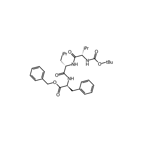 CC(C)C[C@H](NC(=O)[C@@H](NC(=O)OC(C)(C)C)C(C)C)C(=O)N[C@@H](Cc1ccccc1)C(=O)OCc1ccccc1